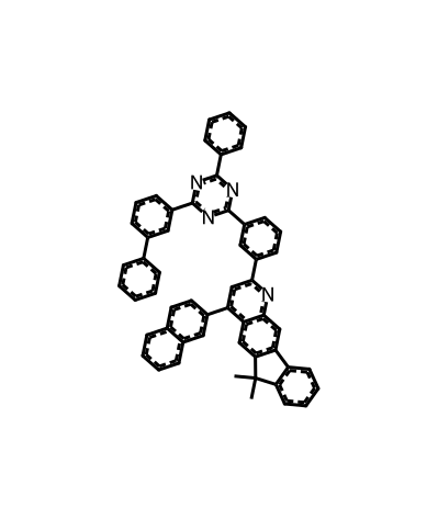 CC1(C)c2ccccc2-c2cc3nc(-c4cccc(-c5nc(-c6ccccc6)nc(-c6cccc(-c7ccccc7)c6)n5)c4)cc(-c4ccc5ccccc5c4)c3cc21